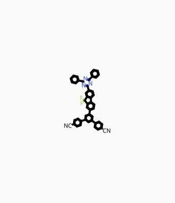 N#Cc1ccc(-c2cc(-c3ccc(C#N)cc3)cc(-c3ccc4c(c3)C(F)(F)c3cc(-c5nc(-c6ccccc6)nc(-c6ccccc6)n5)ccc3-4)c2)cc1